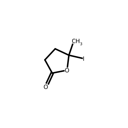 CC1(I)CCC(=O)O1